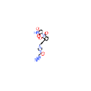 [N-]=[N+]=NCC(=O)N1CCN(CC#Cc2cccc3c2C(=O)N(C2CCC(=O)NC2=O)C3=O)CC1